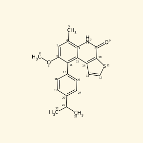 COc1cc(C)c2[nH]c(=O)c3sccc3c2c1-c1ccc(C(C)C)cc1